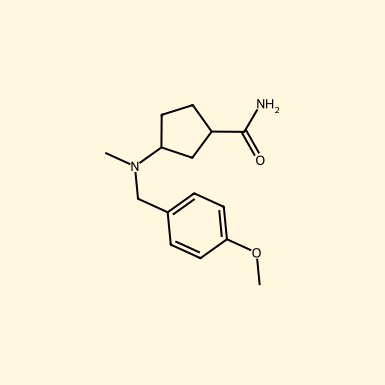 COc1ccc(CN(C)C2CCC(C(N)=O)C2)cc1